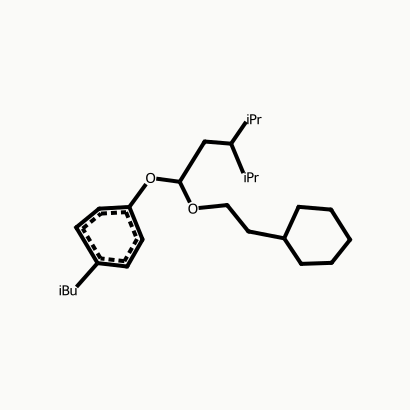 CCC(C)c1ccc(OC(CC(C(C)C)C(C)C)OCCC2CCCCC2)cc1